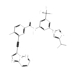 Cc1ccc(C(=O)Nc2cc(-n3cnc(C(C)C)c3)cc(C(F)(F)F)c2)cc1C#Cc1cnc2cccnn12